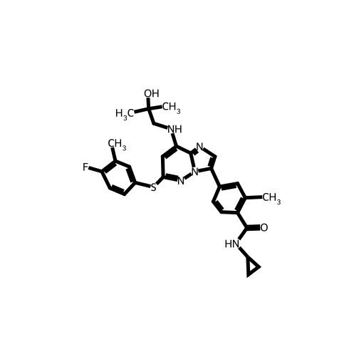 Cc1cc(Sc2cc(NCC(C)(C)O)c3ncc(-c4ccc(C(=O)NC5CC5)c(C)c4)n3n2)ccc1F